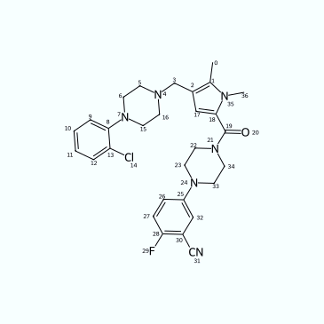 Cc1c(CN2CCN(c3ccccc3Cl)CC2)cc(C(=O)N2CCN(c3ccc(F)c(C#N)c3)CC2)n1C